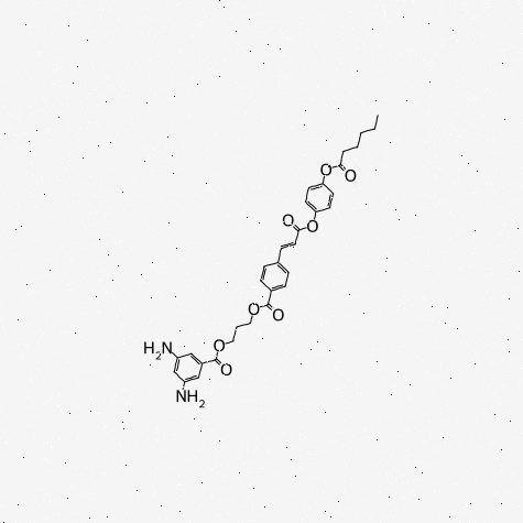 CCCCCC(=O)Oc1ccc(OC(=O)/C=C/c2ccc(C(=O)OCCCOC(=O)c3cc(N)cc(N)c3)cc2)cc1